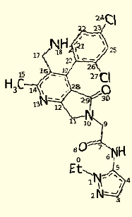 CCn1nccc1NC(=O)CN1Cc2nc(C)c(CN)c(-c3ccc(Cl)cc3Cl)c2C1=O